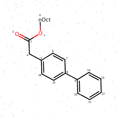 CCCCCCCCOC(=O)Cc1ccc(-c2ccccc2)cc1